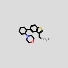 O=C(O)Cc1csc2ccc(C3CCCCC3N3CCOCC3)cc12